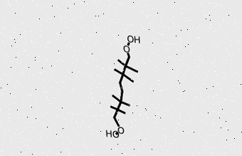 CC(C)(CCC(C)(C)C(C)(C)COO)C(C)(C)COO